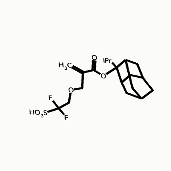 C=C(COCC(F)(F)S(=O)(=O)O)C(=O)OC1(C(C)C)C2CC3CC(C2)CC1C3